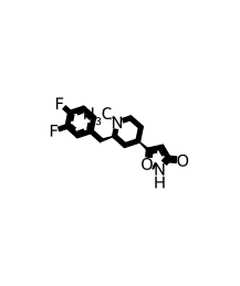 CN1CC[C@@H](c2cc(=O)[nH]o2)C[C@H]1Cc1ccc(F)c(F)c1